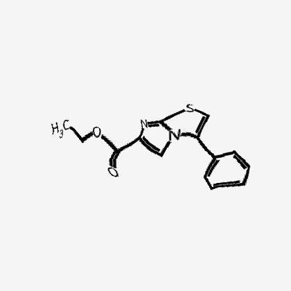 CCOC(=O)c1cn2c(-c3ccccc3)csc2n1